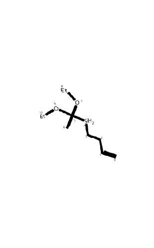 C=CCC[SiH2]C(C)(OCC)OCC